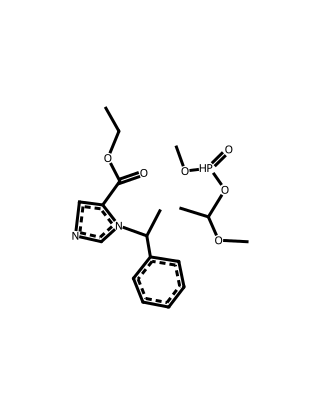 CCOC(=O)c1cncn1C(C)c1ccccc1.COC(C)O[PH](=O)OC